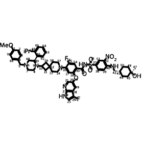 COc1ccc(CN2CCN(C3CC4(CCN(c5cc(Oc6cnc7[nH]cc(F)c7c6)c(C(=O)NS(=O)(=O)c6ccc(NC[C@H]7CC[C@](C)(O)CC7)c([N+](=O)[O-])c6)cc5F)CC4)C3)[C@H](c3ccccc3C(C)C)C2)cc1